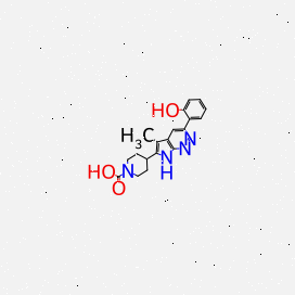 Cc1c(C2CCN(C(=O)O)CC2)[nH]c2nnc(-c3ccccc3O)cc12